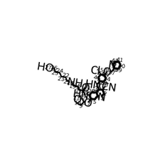 N#Cc1cnc2cc(OC3CCOC3)c(NC(=O)C=CCNCCCCCCO)cc2c1Nc1ccc(OCc2ccccn2)c(Cl)c1